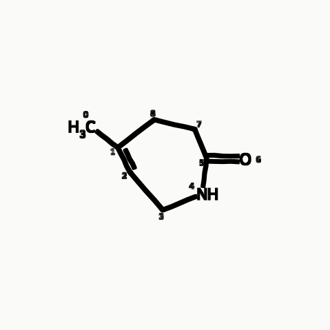 CC1=CCNC(=O)CC1